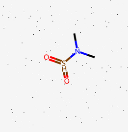 CN(C)[SH](=O)=O